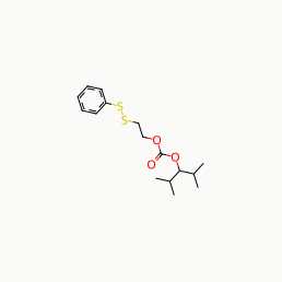 CC(C)C(OC(=O)OCCSSc1ccccc1)C(C)C